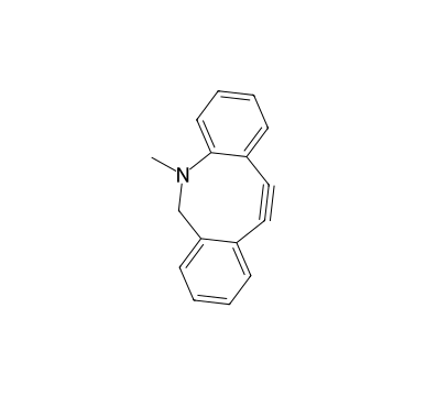 CN1Cc2ccccc2C#Cc2ccccc21